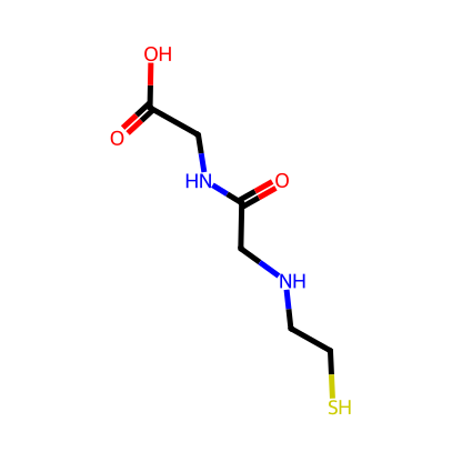 O=C(O)CNC(=O)CNCCS